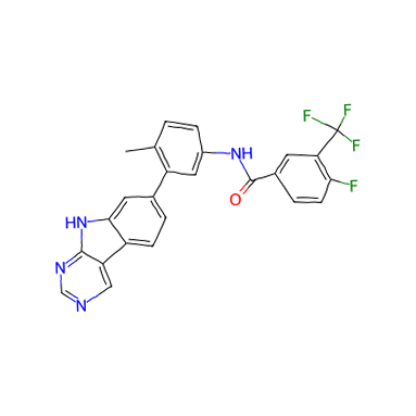 Cc1ccc(NC(=O)c2ccc(F)c(C(F)(F)F)c2)cc1-c1ccc2c(c1)[nH]c1ncncc12